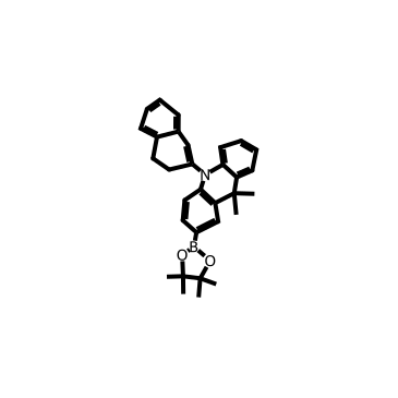 CC1(C)c2ccccc2N(C2=Cc3ccccc3CC2)c2ccc(B3OC(C)(C)C(C)(C)O3)cc21